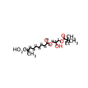 CCC(C)(C)C(=O)OCC(O)COC(=O)CCCCCCC(C)C(=O)O